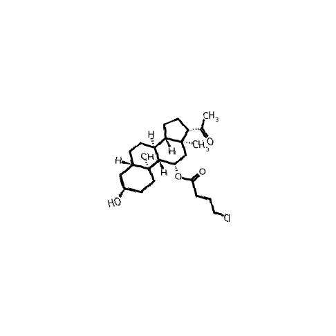 CC(=O)[C@H]1CC[C@H]2[C@@H]3CC[C@H]4C[C@H](O)CC[C@]4(C)[C@H]3[C@@H](OC(=O)CCCCl)C[C@]12C